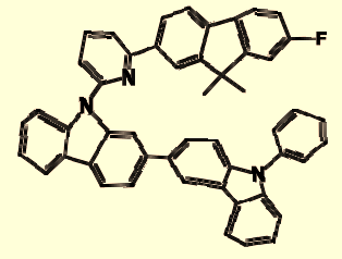 CC1(C)c2cc(F)ccc2-c2ccc(-c3cccc(-n4c5ccccc5c5ccc(-c6ccc7c(c6)c6ccccc6n7-c6ccccc6)cc54)n3)cc21